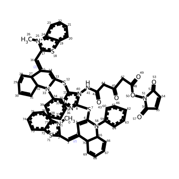 C[n+]1c(/C=C2\C=C(Sc3nnc(SC4=C/C(=C\c5sc6ccccc6[n+]5C)C5C=CC=CC5N4c4ccccc4)n3NC(=O)CC(=O)CC(=O)ON3C(=O)C=CC3=O)N(c3ccccc3)C3C=CC=CC23)sc2ccccc21